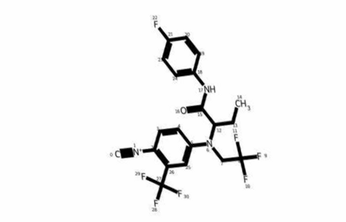 [C-]#[N+]c1ccc(N(CC(F)(F)F)C(CC)C(=O)Nc2ccc(F)cc2)cc1C(F)(F)F